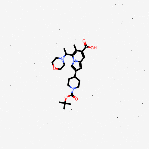 Cc1c(C(=O)O)cc2cc(C3CCN(C(=O)OC(C)(C)C)CC3)cn2c1C(C)N1CCOCC1